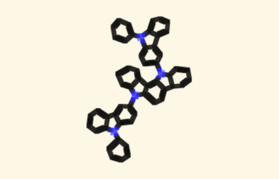 C1=CC2c3ccc4c(c3N(c3ccc5c(c3)c3ccccc3n5-c3ccccc3)C2C=C1)c1ccccc1n4-c1ccc2c(c1)c1ccccc1n2-c1ccccc1